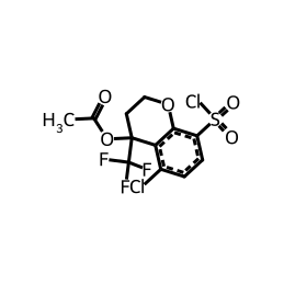 CC(=O)OC1(C(F)(F)F)CCOc2c(S(=O)(=O)Cl)ccc(Cl)c21